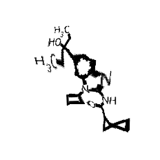 CCC(O)(CC)c1ccc2nc(NC(=O)C3CC34CC4)n(C3=CC=C3)c2c1